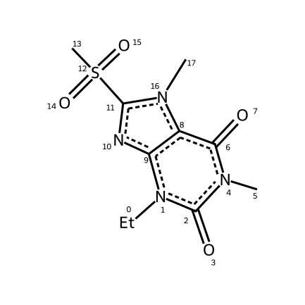 CCn1c(=O)n(C)c(=O)c2c1nc(S(C)(=O)=O)n2C